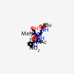 CNC(=O)C(CCO)NC(=O)[C@H](CCCCNC(=O)OC(C)(C)C)NC(=O)[C@H](CCC(C)=O)NC(=O)c1cc([N+](=O)[O-])ccc1F